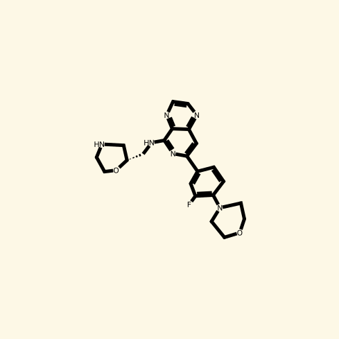 Fc1cc(-c2cc3nccnc3c(NC[C@H]3CNCCO3)n2)ccc1N1CCOCC1